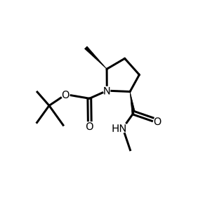 CNC(=O)[C@@H]1CC[C@H](C)N1C(=O)OC(C)(C)C